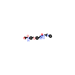 O=C(Nc1ccc(COc2ccc(-c3cn(C(=O)NCC4CN(c5ccccc5)C4)cn3)cc2)cc1)C1COC1